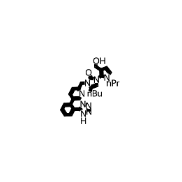 CCCCc1cn(-c2c(CO)ccn2CCC)c(=O)n1Cc1ccc(-c2ccccc2-c2nnn[nH]2)cn1